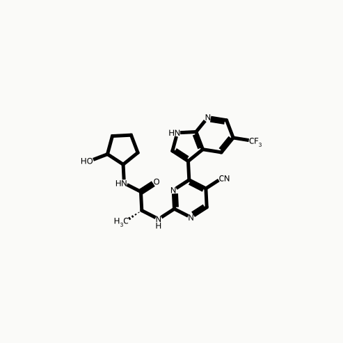 C[C@@H](Nc1ncc(C#N)c(-c2c[nH]c3ncc(C(F)(F)F)cc23)n1)C(=O)NC1CCCC1O